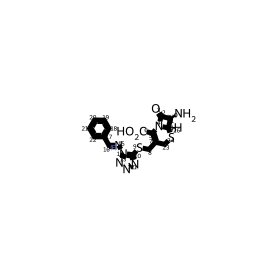 N[C@@H]1C(=O)N2C(C(=O)O)=C(CSc3nnnn3/N=C/c3ccccc3)CS[C@H]12